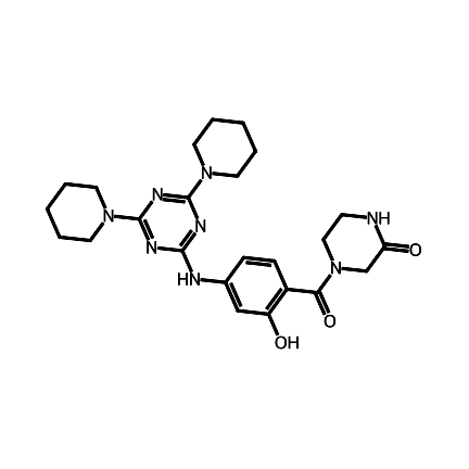 O=C1CN(C(=O)c2ccc(Nc3nc(N4CCCCC4)nc(N4CCCCC4)n3)cc2O)CCN1